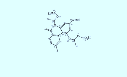 C=C(C)c1ccc(C)cc1-c1c(OC(C)OC(=O)OCC)cc(CCCCC)cc1OC(C)OC(=O)OCC